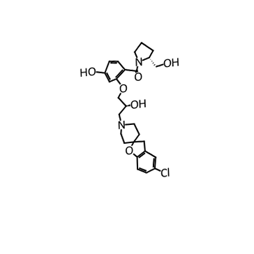 O=C(c1ccc(O)cc1OC[C@@H](O)CN1CCC2(CC1)Cc1cc(Cl)ccc1O2)N1CCC[C@@H]1CO